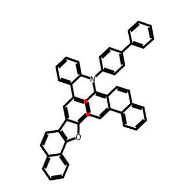 c1ccc(-c2ccc(N(c3ccccc3-c3ccc4oc5c6ccccc6ccc5c4c3)c3cccc4c3ccc3ccccc34)cc2)cc1